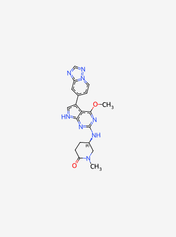 COc1nc(N[C@@H]2CCC(=O)N(C)C2)nc2[nH]cc(-c3ccn4ncnc4c3)c12